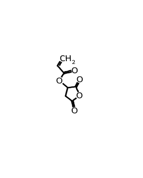 C=CC(=O)OC1CC(=O)OC1=O